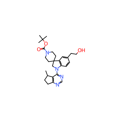 CC1CCc2ncnc(N3CC4(CCN(C(=O)OC(C)(C)C)CC4)c4cc(CCO)ccc43)c21